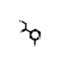 O=C(CBr)c1ccnc(F)c1